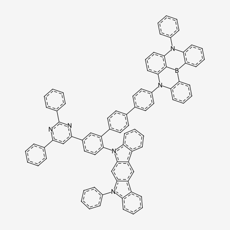 c1ccc(-c2cc(-c3ccc(-n4c5ccccc5c5cc6c7ccccc7n(-c7ccccc7)c6cc54)c(-c4ccc(-c5ccc(N6c7ccccc7B7c8ccccc8N(c8ccccc8)c8cccc6c87)cc5)cc4)c3)nc(-c3ccccc3)n2)cc1